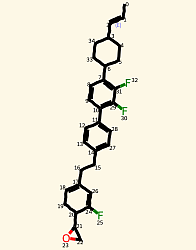 C/C=C/C1CCC(c2ccc(-c3ccc(CCC4=CCC(C5CO5)C(F)=C4)cc3)c(F)c2F)CC1